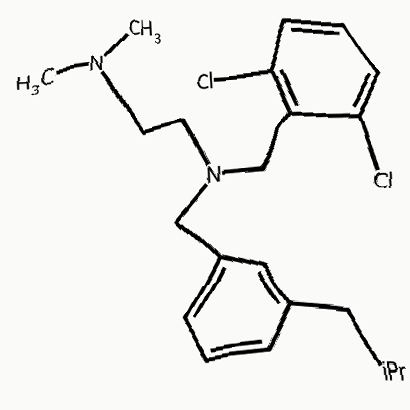 CC(C)Cc1cccc(CN(CCN(C)C)Cc2c(Cl)cccc2Cl)c1